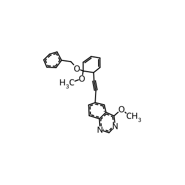 COc1ncnc2ccc(C#CC3C=CC=CC3(OC)OCc3ccccc3)cc12